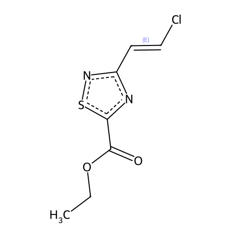 CCOC(=O)c1nc(/C=C/Cl)ns1